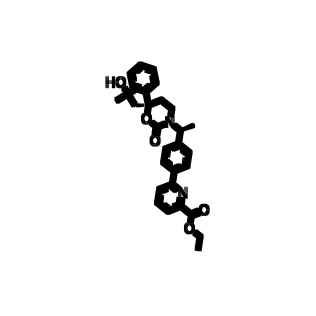 CCOC(=O)c1cccc(-c2ccc([C@H](C)N3CC[C@](CC(C)(C)O)(c4ccccc4)OC3=O)cc2)n1